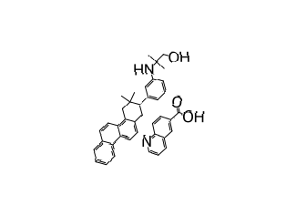 CC(C)(CO)Nc1cccc(C2Cc3ccc4c(ccc5ccccc54)c3CC2(C)C)c1.O=C(O)c1ccc2ncccc2c1